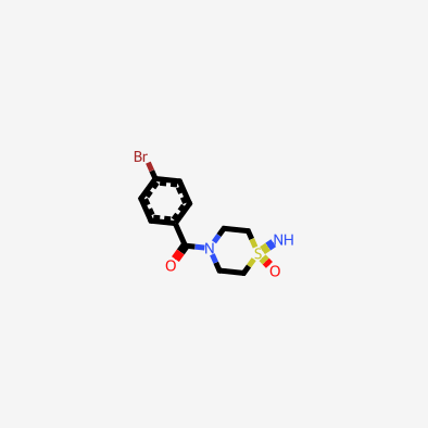 N=S1(=O)CCN(C(=O)c2ccc(Br)cc2)CC1